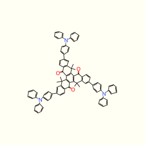 CC1(C)c2cc(-c3ccc(N(c4ccccc4)c4ccccc4)cc3)ccc2C(=O)c2c1c1c(c3c2C(C)(C)c2cc(-c4ccc(N(c5ccccc5)c5ccccc5)cc4)ccc2C3=O)C(C)(C)c2cc(-c3ccc(N(c4ccccc4)c4ccccc4)cc3)ccc2C1=O